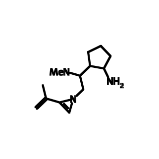 C=C(C)C1=CN1CC(NC)C1CCCC1N